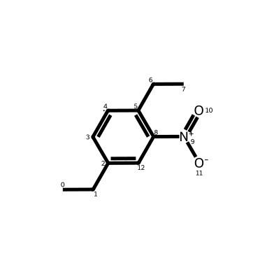 CCc1c[c]c(CC)c([N+](=O)[O-])c1